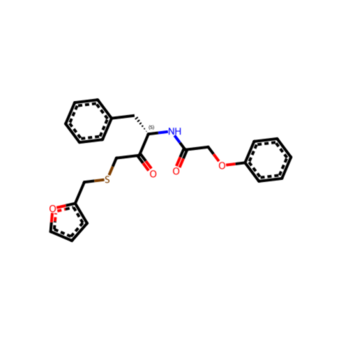 O=C(COc1ccccc1)N[C@@H](Cc1ccccc1)C(=O)CSCc1ccco1